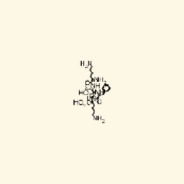 C[C@@H](O)[C@H](NC(=O)[C@@H](N)CCCCN)C(=O)N[C@@H](Cc1ccccc1)C(=O)N[C@@H](CCCCN)C(=O)O